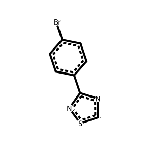 Brc1ccc(-c2n[c]sn2)cc1